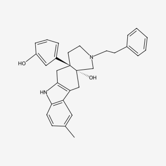 Cc1ccc2[nH]c3c(c2c1)C[C@]1(O)CN(CCc2ccccc2)CC[C@@]1(c1cccc(O)c1)C3